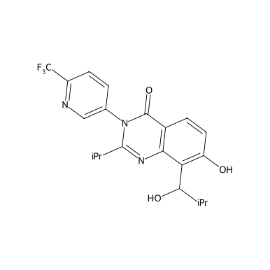 CC(C)c1nc2c(C(O)C(C)C)c(O)ccc2c(=O)n1-c1ccc(C(F)(F)F)nc1